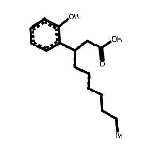 O=C(O)CC(CCCCCCBr)c1ccccc1O